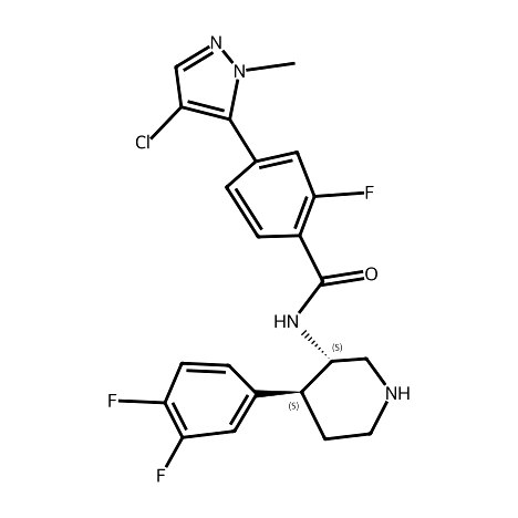 Cn1ncc(Cl)c1-c1ccc(C(=O)N[C@@H]2CNCC[C@H]2c2ccc(F)c(F)c2)c(F)c1